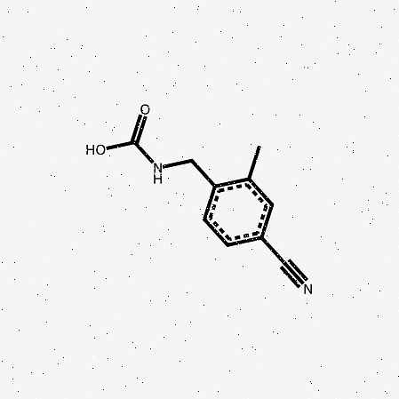 Cc1cc(C#N)ccc1CNC(=O)O